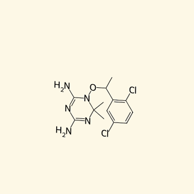 CC(ON1C(N)=NC(N)=NC1(C)C)c1cc(Cl)ccc1Cl